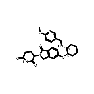 COc1ccc(CN[C@@H]2CCCC[C@H]2Oc2ccc3c(c2)CN(C2CCC(=O)NC2=O)C3=O)cn1